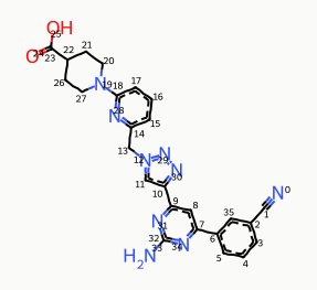 N#Cc1cccc(-c2cc(-c3cn(Cc4cccc(N5CCC(C(=O)O)CC5)n4)nn3)nc(N)n2)c1